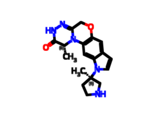 C[C@@H]1C(=O)NN=C2COc3cc4ccn([C@]5(C)CCNC5)c4cc3N21